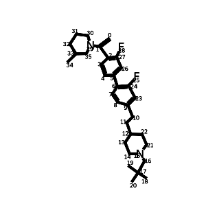 C=C(c1ccc(-c2ccc(CCC3CCN(CC(C)(C)C)CC3)cc2F)cc1F)N1CCCC(C)C1